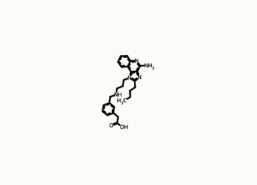 CCCCc1nc2c(N)nc3ccccc3c2n1CCCNCc1cccc(CC(=O)O)c1